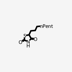 CCCCCCCCC1SC(=O)NC1=O